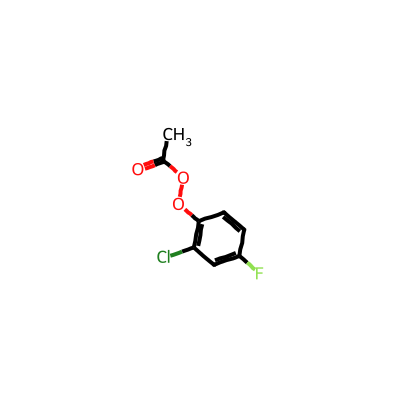 CC(=O)OOc1ccc(F)cc1Cl